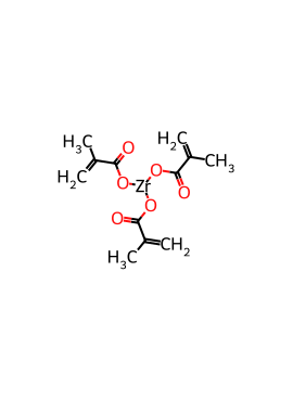 C=C(C)C(=O)[O][Zr]([O]C(=O)C(=C)C)[O]C(=O)C(=C)C